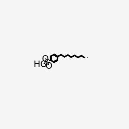 [CH2]CCCCCCCc1ccc(S(=O)(=O)O)cc1